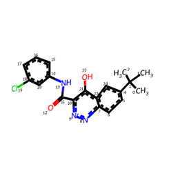 CC(C)(C)c1ccc2nnc(C(=O)Nc3cccc(Cl)c3)c(O)c2c1